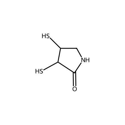 O=C1NCC(S)C1S